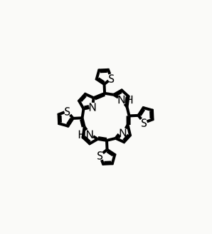 C1=Cc2nc1c(-c1cccs1)c1ccc([nH]1)c(-c1cccs1)c1nc(c(-c3cccs3)c3ccc([nH]3)c2-c2cccs2)C=C1